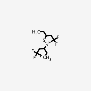 CCC(CC(F)(F)F)SSC(CC)CC(F)(F)F